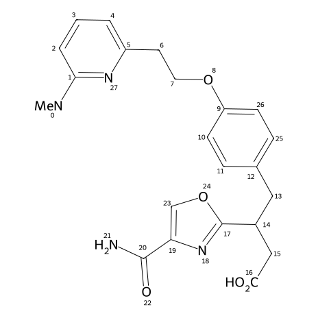 CNc1cccc(CCOc2ccc(CC(CC(=O)O)c3nc(C(N)=O)co3)cc2)n1